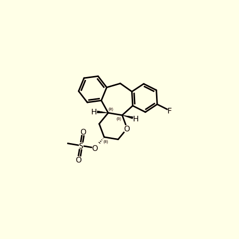 CS(=O)(=O)O[C@H]1CO[C@H]2c3cc(F)ccc3Cc3ccccc3[C@H]2C1